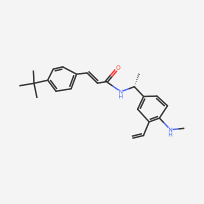 C=Cc1cc([C@@H](C)NC(=O)/C=C/c2ccc(C(C)(C)C)cc2)ccc1NC